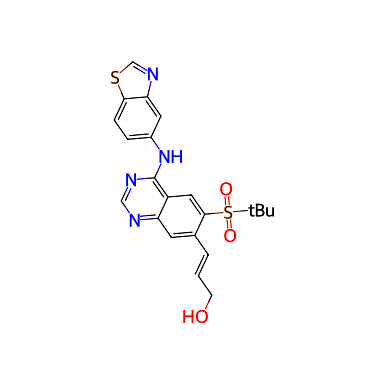 CC(C)(C)S(=O)(=O)c1cc2c(Nc3ccc4scnc4c3)ncnc2cc1C=CCO